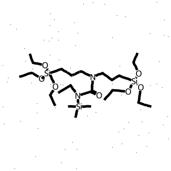 CCO[Si](CCCN(CCC[Si](OCC)(OCC)OCC)C(=O)N(CC)[Si](C)(C)C)(OCC)OCC